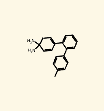 Cc1ccc(-c2ccccc2C2=CCC(N)(N)C=C2)cc1